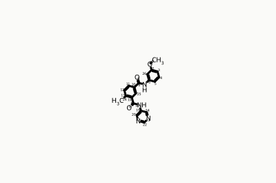 COc1cccc(NC(=O)c2ccc(C)c(C(=O)Nc3cncnc3)c2)c1